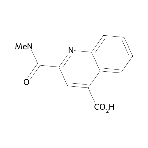 CNC(=O)c1cc(C(=O)O)c2ccccc2n1